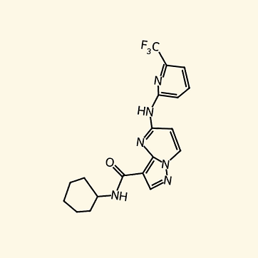 O=C(NC1CCCCC1)c1cnn2ccc(Nc3cccc(C(F)(F)F)n3)nc12